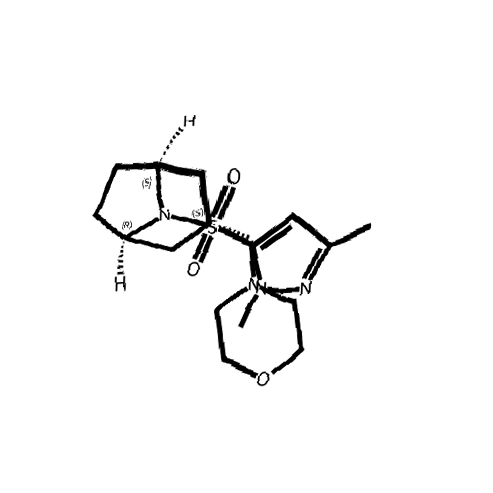 Cc1cc(S(=O)(=O)N2[C@@H]3CC[C@H]2C[C@H](CN2CCOCC2)C3)n(C)n1